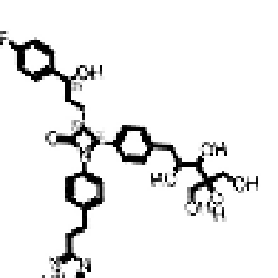 O=C1[C@H](CC[C@H](O)c2ccc(F)cc2)[C@@H](c2ccc(CC(O)C(O)C(O)(CO)CO)cc2)N1c1ccc(CCc2nc[nH]n2)cc1